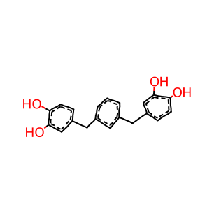 Oc1ccc(Cc2cccc(Cc3ccc(O)c(O)c3)c2)cc1O